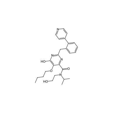 CCCCOc1c(O)nc(Cc2ccccc2-c2ccncc2)nc1C(=O)N(CCO)C(C)C